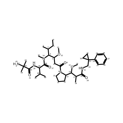 CCC(C)C(C(CC(=O)N1CCCC1C(OC)C(C)C(=O)NCC1(c2ccccc2)CC1)OC)N(C)C(=O)C(NC(=O)C(C)(C)N)C(C)C